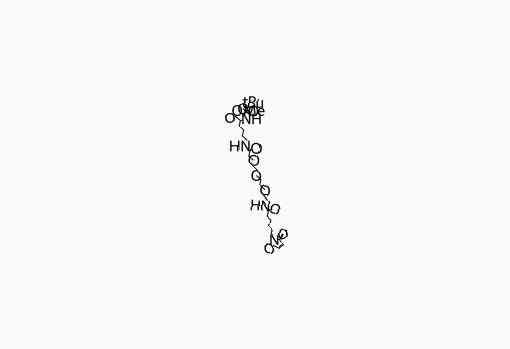 COC(=O)C(CCCCNC(=O)COCCOCCOCCNC(=O)CCCCCN1C(=O)C=CC1=O)NC(=O)OC(C)(C)C